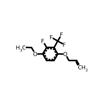 C=CCOc1ccc(OCC)c(F)c1C(F)(F)F